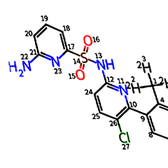 [2H]C([2H])([2H])c1ccccc1-c1nc(NS(=O)(=O)c2cccc(N)n2)ccc1Cl